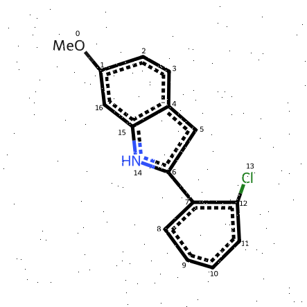 COc1ccc2cc(-c3ccccc3Cl)[nH]c2c1